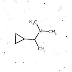 CC(C1CC1)N(C)C